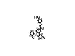 O=C(CCc1ccc(O)cc1)N1CCC(Oc2ccccc2Cl)C(c2cccc(Cl)c2)C1